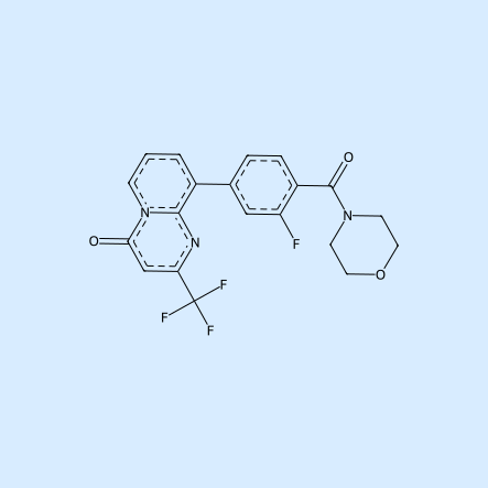 O=C(c1ccc(-c2cccn3c(=O)cc(C(F)(F)F)nc23)cc1F)N1CCOCC1